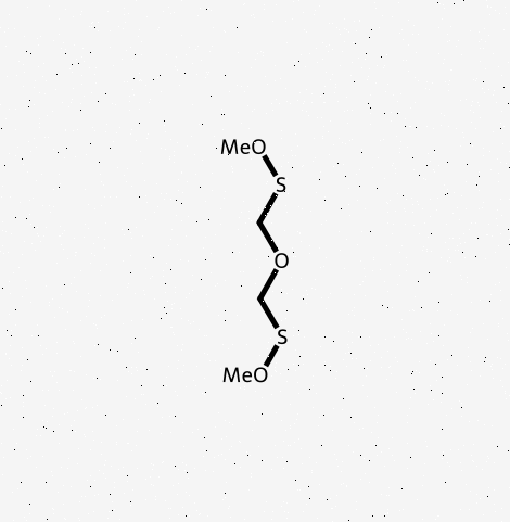 COSCOCSOC